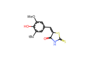 COc1cc(C=C2SC(=S)NC2=O)cc(C(C)(C)C)c1O